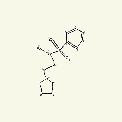 O=S(=O)(c1ccccc1)N(Br)CCN1CCCC1